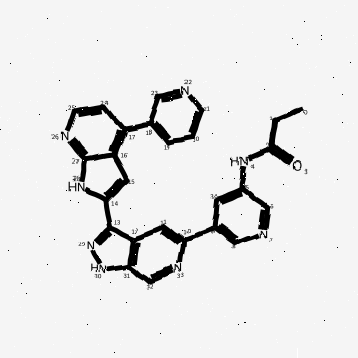 CCC(=O)Nc1cncc(-c2cc3c(-c4cc5c(-c6cccnc6)ccnc5[nH]4)n[nH]c3cn2)c1